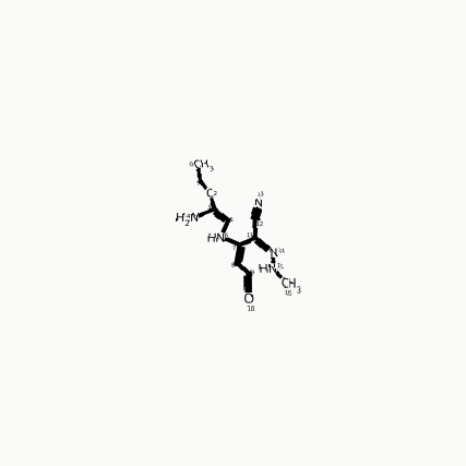 CCC/C(N)=C/NC(=C/C=O)/C(C#N)=N\NC